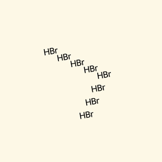 Br.Br.Br.Br.Br.Br.Br.Br